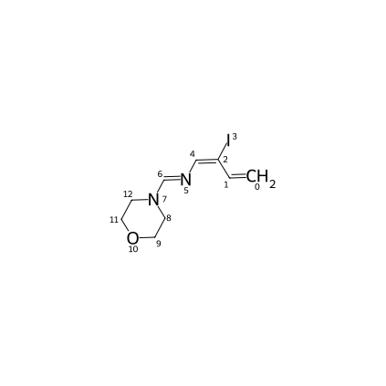 C=C/C(I)=C\N=C\N1CCOCC1